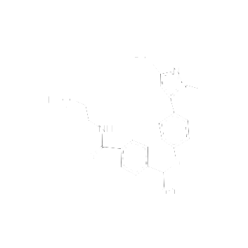 CCCC(Oc1ccc(-c2cc(C(F)(F)F)nn2C)cc1)c1ccc(C(=O)NCCC(=O)O)cc1